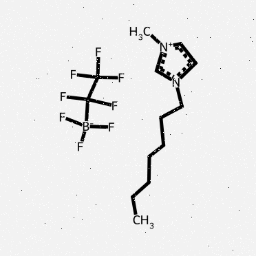 CCCCCCCn1cc[n+](C)c1.F[B-](F)(F)C(F)(F)C(F)(F)F